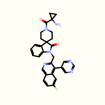 NC1(C(=O)N2CCC3(CC2)C(=O)N(Cc2ncc4ccc(F)cc4c2-c2cncnc2)c2ccccc23)CC1